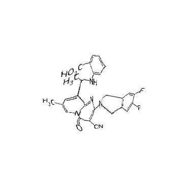 Cc1cc(C(C)Nc2ccccc2C(=O)O)c2nc(N3Cc4cc(F)c(F)cc4C3)c(C#N)c(=O)n2c1